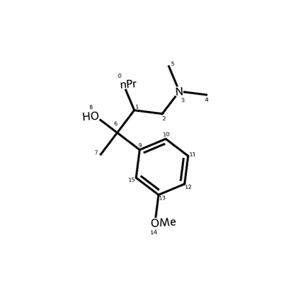 CCCC(CN(C)C)C(C)(O)c1cccc(OC)c1